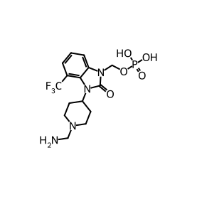 NCN1CCC(n2c(=O)n(COP(=O)(O)O)c3cccc(C(F)(F)F)c32)CC1